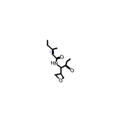 CCC(=O)C(NC(=O)/C=C(\C)CC)C1COC1